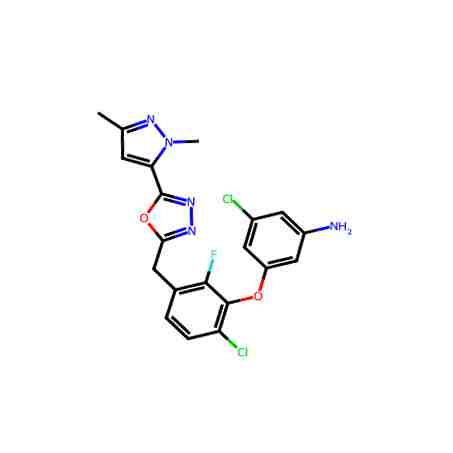 Cc1cc(-c2nnc(Cc3ccc(Cl)c(Oc4cc(N)cc(Cl)c4)c3F)o2)n(C)n1